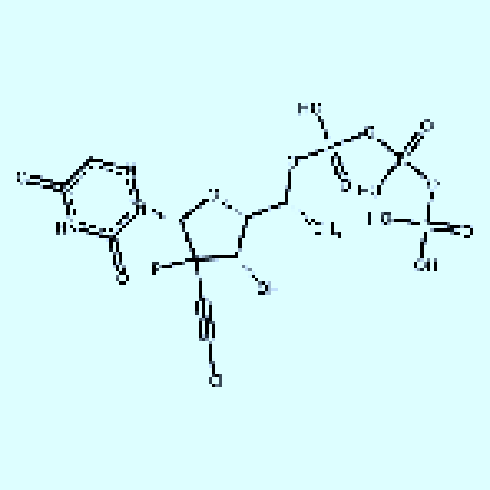 C[C@@H](OP(=O)(O)OP(=O)(O)OP(=O)(O)O)[C@H]1O[C@@H](n2ncc(=O)[nH]c2=O)C(F)(C#CCl)[C@H]1O